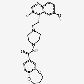 COc1ccc2ncc(F)c(CCN3CCN(NC(=O)c4ccc5c(c4)OCCCO5)CC3)c2n1